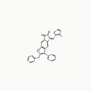 Cc1ccsc1/C=C1\C(=O)Nc2cc3oc(Cc4ccccc4)c(-c4ccccc4)c3cc21